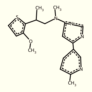 COc1ccsc1C(C)CN(C)c1cc(-c2ccc(C)nc2)ncn1